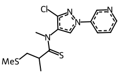 CSCC(C)C(=S)N(C)c1cn(-c2cccnc2)nc1Cl